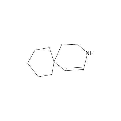 C1=CC2(CCCCC2)CCN1